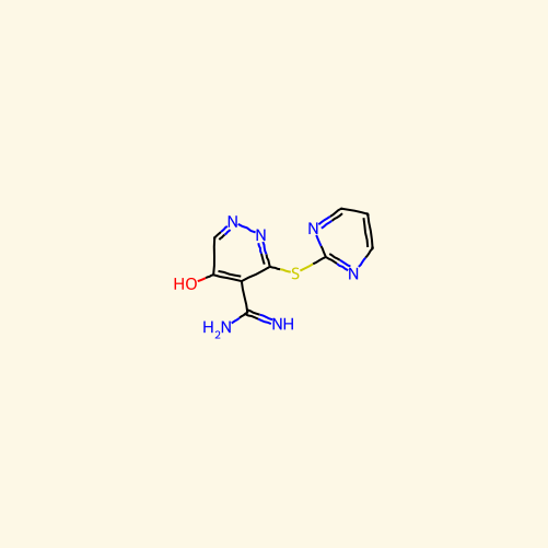 N=C(N)c1c(O)cnnc1Sc1ncccn1